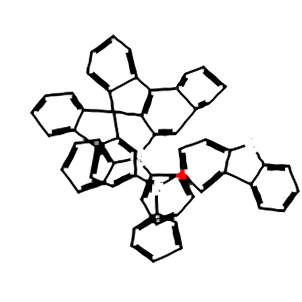 c1ccc(N(c2ccc3c(c2)C2(c4ccccc4-3)c3ccccc3-c3c2c(N(c2ccccc2)c2ccccc2)cc2ccccc32)c2ccc3sc4ccccc4c3c2)cc1